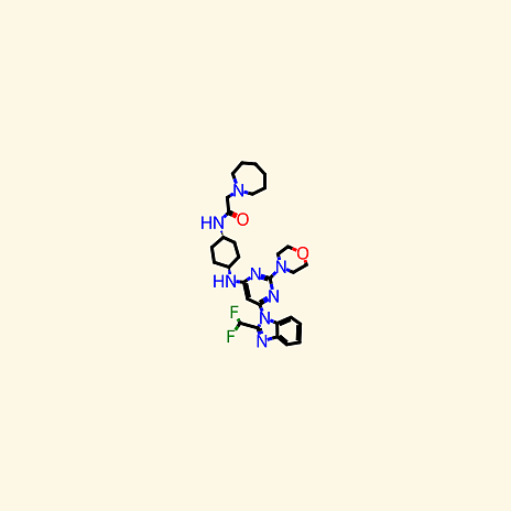 O=C(CN1CCCCCC1)N[C@H]1CC[C@H](Nc2cc(-n3c(C(F)F)nc4ccccc43)nc(N3CCOCC3)n2)CC1